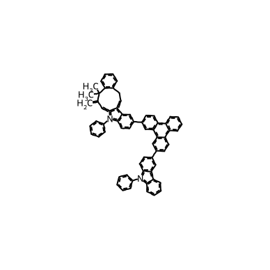 C=C1/C=c2\c(c3cc(-c4ccc5c6ccccc6c6ccc(-c7ccc8c(c7)c7ccccc7n8-c7ccccc7)cc6c5c4)ccc3n2-c2ccccc2)=C/Cc2ccccc2C1(C)C